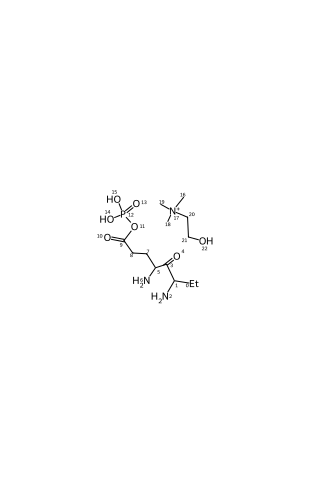 CCC(N)C(=O)C(N)CCC(=O)OP(=O)(O)O.C[N+](C)(C)CCO